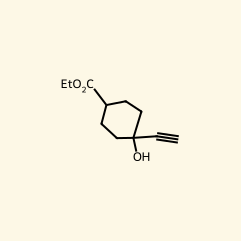 C#CC1(O)CCC(C(=O)OCC)CC1